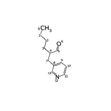 CCCCC(C=O)Cc1cccnc1